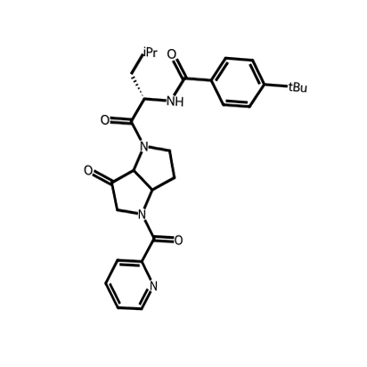 CC(C)C[C@H](NC(=O)c1ccc(C(C)(C)C)cc1)C(=O)N1CCC2C1C(=O)CN2C(=O)c1ccccn1